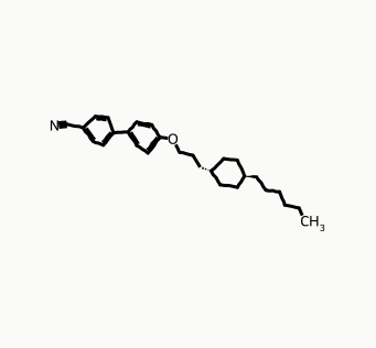 CCCCCC[C@H]1CC[C@H](CCCOc2ccc(-c3ccc(C#N)cc3)cc2)CC1